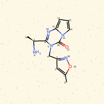 Cc1cc(Cn2c([C@H](C)N)nc3cccn3c2=O)no1